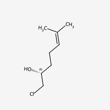 CC(C)=CCC[C@@H](O)CCl